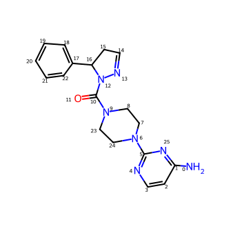 Nc1ccnc(N2CCN(C(=O)N3N=CCC3c3ccccc3)CC2)n1